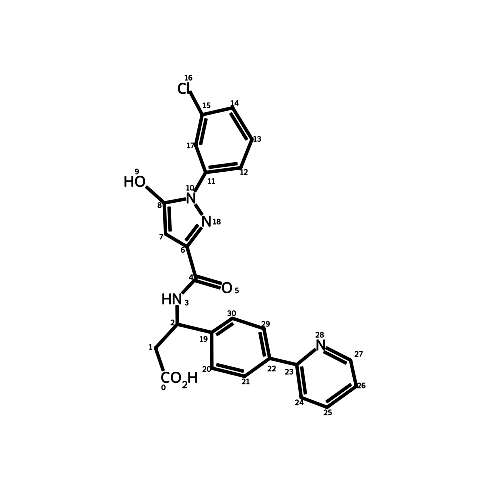 O=C(O)CC(NC(=O)c1cc(O)n(-c2cccc(Cl)c2)n1)c1ccc(-c2ccccn2)cc1